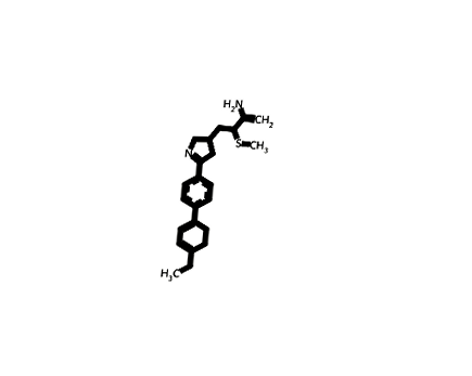 C=C(N)C(CC1CN=C(c2ccc(C3=CC=C(CC)CC3)cc2)C1)SC